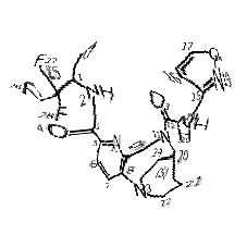 CC(NC(=O)c1ccc2c(n1)N(C(=O)Nc1ccon1)[C@H]1CCN2C1)C(F)(F)F